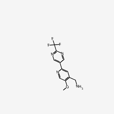 COc1cnc(-c2cnc(C(F)(F)F)nc2)cc1CN